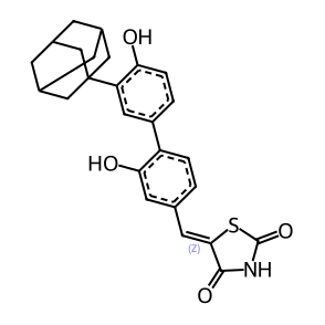 O=C1NC(=O)/C(=C/c2ccc(-c3ccc(O)c(C45CC6CC(CC(C6)C4)C5)c3)c(O)c2)S1